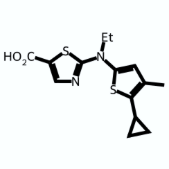 CCN(c1cc(C)c(C2CC2)s1)c1ncc(C(=O)O)s1